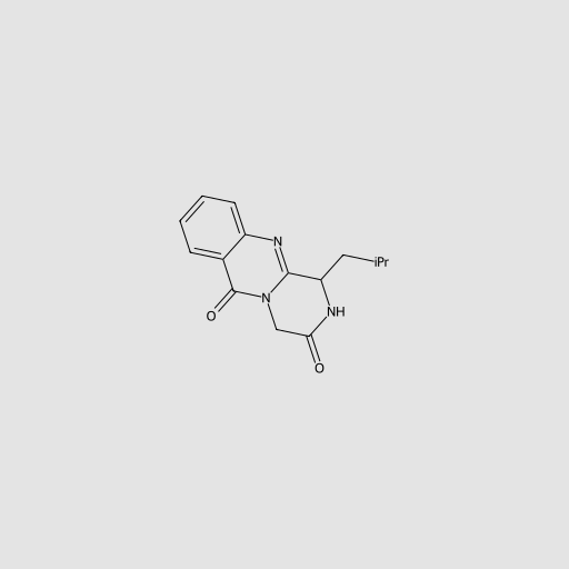 CC(C)CC1NC(=O)Cn2c1nc1ccccc1c2=O